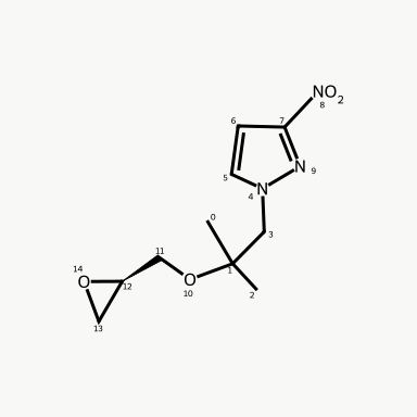 CC(C)(Cn1ccc([N+](=O)[O-])n1)OC[C@H]1CO1